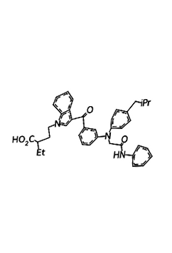 CCC(CCn1cc(C(=O)c2cccc(N(CC(=O)Nc3ccccc3)c3ccc(CC(C)C)cc3)c2)c2ccccc21)C(=O)O